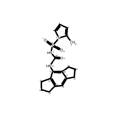 Cc1cccn1S(=O)(=O)NC(=O)Nc1c2c(cc3c1CCC3)CCC2